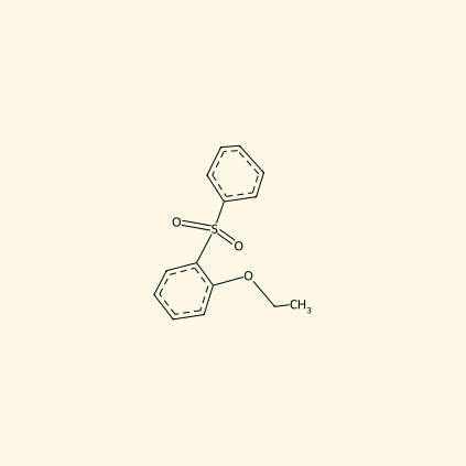 CCOc1ccccc1S(=O)(=O)c1ccccc1